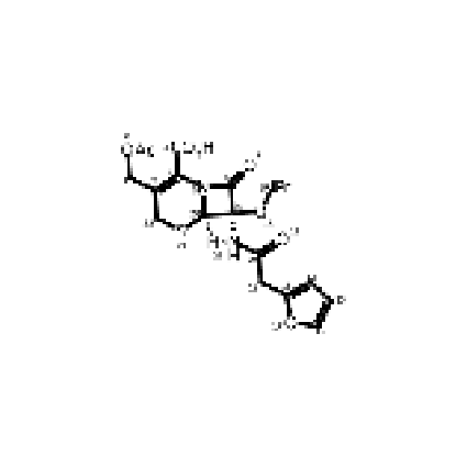 CC(=O)OCC1=C(C(=O)O)N2C(=O)[C@@](NC(=O)Cc3ccco3)(OC(C)C)[C@H]2SC1